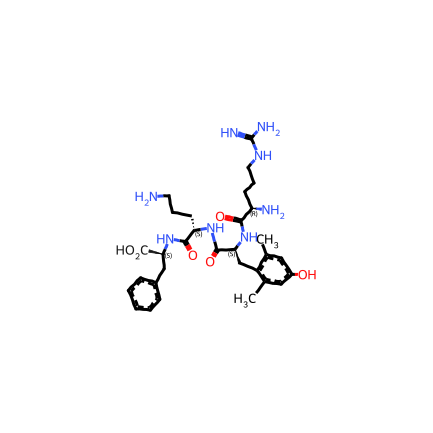 Cc1cc(O)cc(C)c1C[C@H](NC(=O)[C@H](N)CCCNC(=N)N)C(=O)N[C@@H](CCCN)C(=O)N[C@@H](Cc1ccccc1)C(=O)O